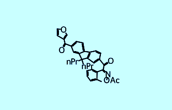 CCCC1(CCC)c2cc(C(=O)/C(=N/OC(C)=O)c3ccccc3C)ccc2-c2ccc(C(=O)c3ccoc3)cc21